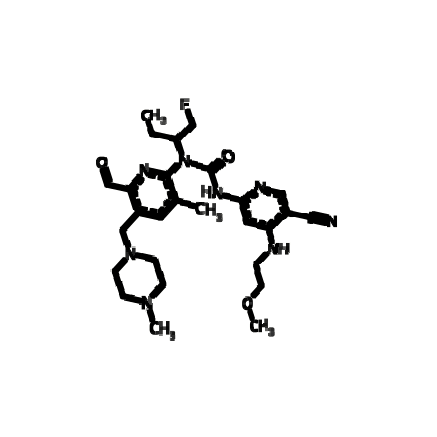 CCC(CF)N(C(=O)Nc1cc(NCCOC)c(C#N)cn1)c1nc(C=O)c(CN2CCN(C)CC2)cc1C